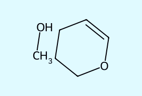 C1=COCCC1.CO